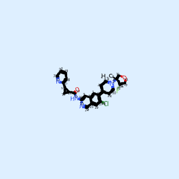 C[C@@]1(N2CCC(c3cc4cc(NC(=O)C5CC5c5ccccn5)ncc4cc3Cl)CC2)COC[C@@H]1F